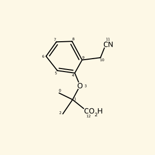 CC(C)(Oc1ccccc1CC#N)C(=O)O